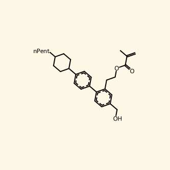 C=C(C)C(=O)OCCc1cc(CO)ccc1-c1ccc(C2CCC(CCCCC)CC2)cc1